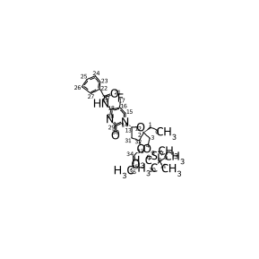 CC[C@]1(CO[Si](C)(C)C(C)(C)C)O[C@@H](n2cc(F)c(NC(=O)c3ccccc3)nc2=O)C[C@@H]1OCOC